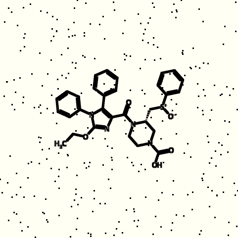 CCOc1nc(C(=O)N2CCN(C(=O)O)C[C@H]2C[S+]([O-])c2ccccc2)c(-c2ccccc2)n1-c1ccccc1